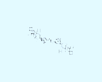 CC1(C(=O)N2CCC(n3cc(SSc4cnn(C5CCN(C(=O)C6(C)CCC6)CC5)c4)cn3)CC2)CCC1